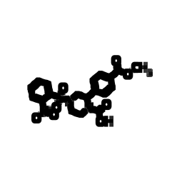 COC(=O)c1ccc(C2CN(S(=O)(=O)c3ccccc3[N+](=O)[O-])CCN2C(=O)O)cc1